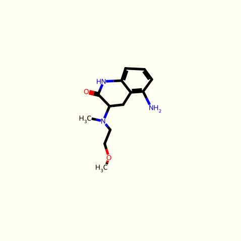 COCCN(C)C1Cc2c(N)cccc2NC1=O